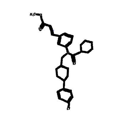 COC(=O)/C=C/c1cccc(N(CC2CCC(c3ccc(Cl)cc3)CC2)C(=O)C2CCCCC2)c1